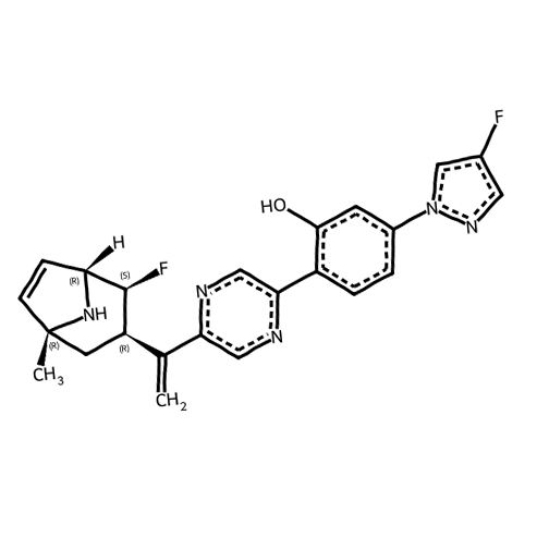 C=C(c1cnc(-c2ccc(-n3cc(F)cn3)cc2O)cn1)[C@H]1C[C@]2(C)C=C[C@@H](N2)[C@H]1F